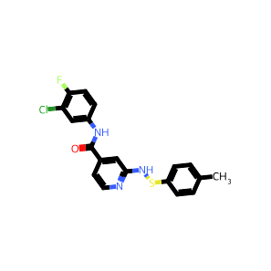 Cc1ccc(SNc2cc(C(=O)Nc3ccc(F)c(Cl)c3)ccn2)cc1